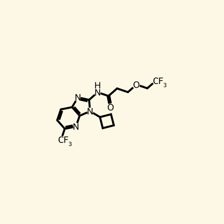 O=C(CCOCC(F)(F)F)Nc1nc2ccc(C(F)(F)F)nc2n1C1CCC1